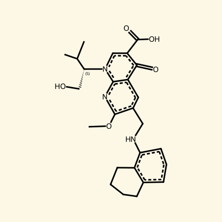 COc1nc2c(cc1CNc1cccc3c1CCCC3)c(=O)c(C(=O)O)cn2[C@H](CO)C(C)C